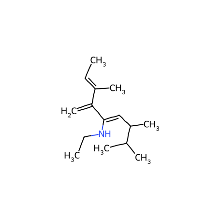 C=C(/C(=C/C(C)C(C)C)NCC)/C(C)=C/C